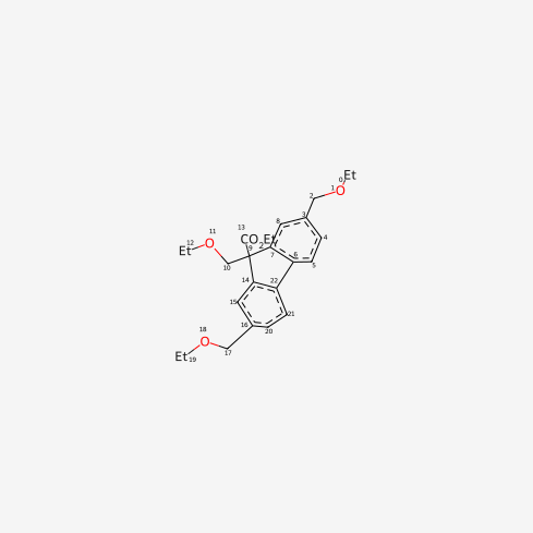 CCOCc1ccc2c(c1)C(COCC)(C(=O)OCC)c1cc(COCC)ccc1-2